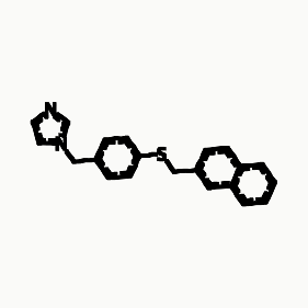 c1ccc2cc(CSc3ccc(Cn4ccnc4)cc3)ccc2c1